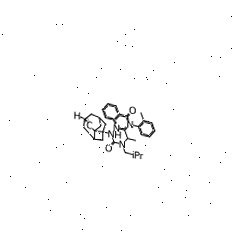 Cc1ccccc1-n1c(C(C)N(CC(C)C)C(=O)NC23CC4C[C@H]5CC(C2)C3(C4)C5)nc2ccccc2c1=O